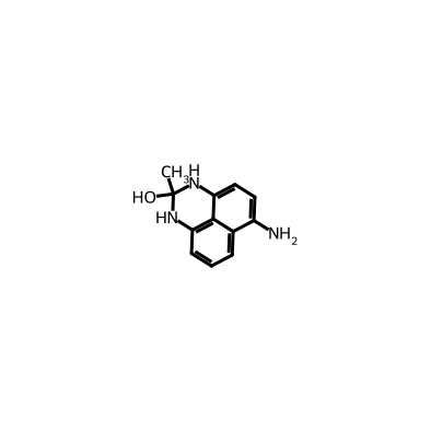 CC1(O)Nc2cccc3c(N)ccc(c23)N1